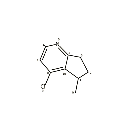 CC1CCc2nccc(Cl)c21